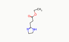 CCOC(=O)CCC1=NCCN1